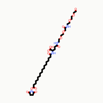 O=CCOCCOCCNC(=O)COCCOCCNC(=O)CCC(NC(=O)CCCCCCCCCCCCCCCCC(=O)ON1C(=O)CCC1=O)C(=O)O